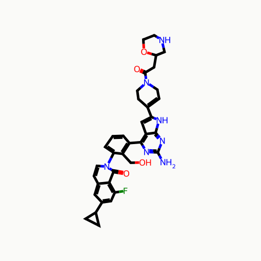 Nc1nc(-c2cccc(-n3ccc4cc(C5CC5)cc(F)c4c3=O)c2CO)c2cc(C3=CCN(C(=O)CC4CNCCO4)CC3)[nH]c2n1